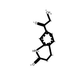 CCC(=O)c1ccc2c(c1)NC(=O)CC2